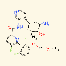 COCCOc1ccc(F)c(-c2nc(C(=O)Nc3cnccc3[C@H]3C[C@@H](N)[C@H](O)[C@@H](C)C3)ccc2F)c1F